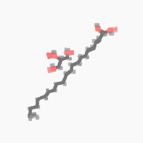 CCCCCCCCCCCCCCCC=CC=CC(=O)O.OCC(O)CO